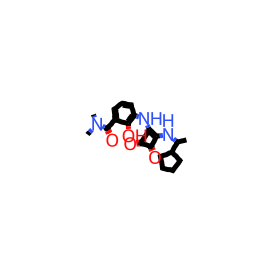 CC(Nc1c(Nc2cccc(C(=O)N(C)C)c2O)c(=O)c1=O)C1CCCC1